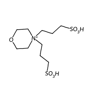 O=S(=O)(O)CCC[N+]1(CCCS(=O)(=O)O)CCOCC1